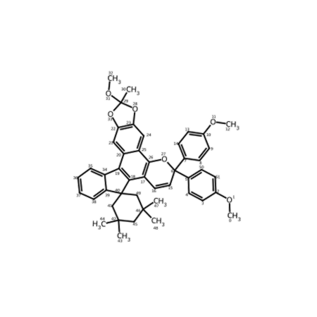 COc1ccc(C2(c3ccc(OC)cc3)C=Cc3c4c(c5cc6c(cc5c3O2)OC(C)(OC)O6)-c2ccccc2C42CC(C)(C)CC(C)(C)C2)cc1